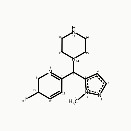 Cn1nccc1C(C1=NCC(F)C=C1)N1CCNCC1